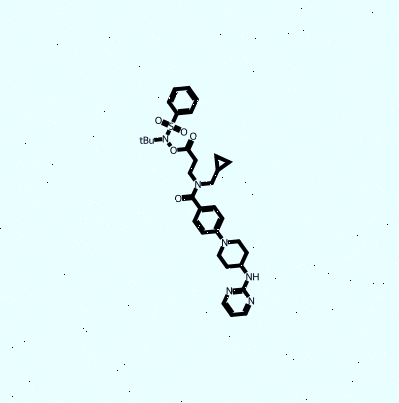 CC(C)(C)N(OC(=O)CCN(CC1CC1)C(=O)c1ccc(N2CCC(Nc3ncccn3)CC2)cc1)S(=O)(=O)c1ccccc1